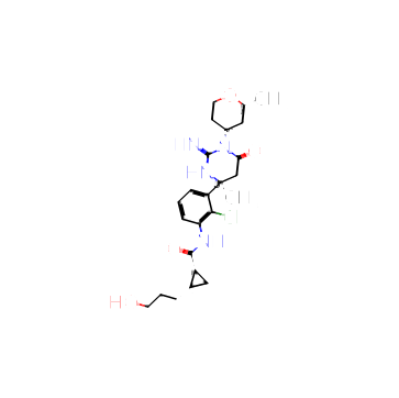 C[C@@H]1C[C@H](N2C(=N)N[C@](C)(c3cccc(NC(=O)[C@H]4C[C@@H]4CCCO)c3Cl)CC2=O)CCO1